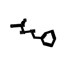 O=[SH](=O)NNCc1ccccc1